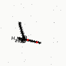 CCCCCCCCCCCCCCCC(=O)N(C(=O)CCCCCCCCCCCCCCC)C(CCCN)C(=O)O